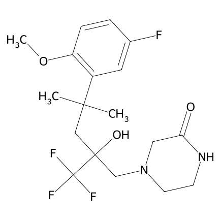 COc1ccc(F)cc1C(C)(C)CC(O)(CN1CCNC(=O)C1)C(F)(F)F